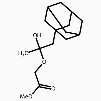 COC(=O)COC(C)(O)CC12CC3CC(CC(C3)C1)C2